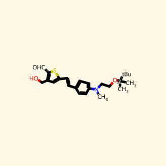 CN(CCO[Si](C)(C)C(C)(C)C)c1ccc(/C=C/c2cc(CO)c(C=O)s2)cc1